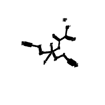 N#CSOP(F)(F)(OSC#N)OC(=O)C(=O)[O-].[K+]